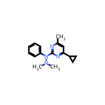 Cc1cc(C2CC2)nc(N(c2ccccc2)N(C)C)n1